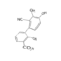 N#Cc1c(C(=O)O)cccc1-c1ccc(O)c(O)c1C#N